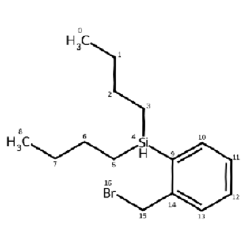 CCCC[SiH](CCCC)c1ccccc1CBr